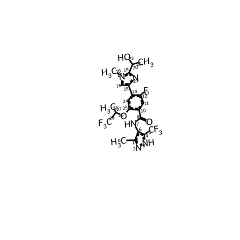 Cc1n[nH]c(C(F)(F)F)c1NC(=O)c1cc(F)c(-c2cn(C)c(C(C)O)n2)cc1OC(C)C(F)(F)F